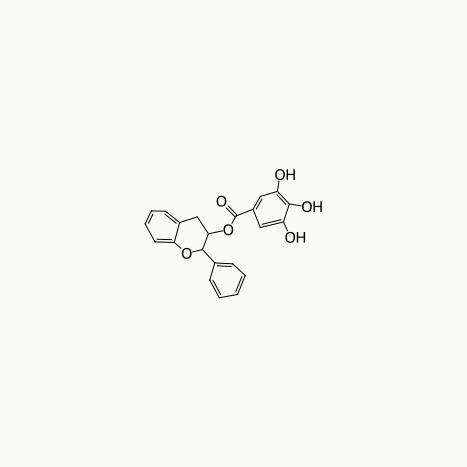 O=C(OC1Cc2ccccc2OC1c1ccccc1)c1cc(O)c(O)c(O)c1